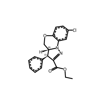 CCOC(=O)C1=NN2c3cc(Cl)ccc3OC[C@H]2[C@@H]1c1ccccc1